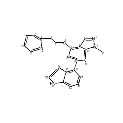 Cn1ncc2c(OCCc3ccccn3)nc(-c3cccc4[nH]ncc34)nc21